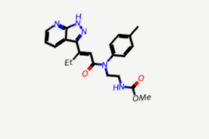 CC/C(=C\C(=O)N(CCNC(=O)OC)c1ccc(C)cc1)c1n[nH]c2ncccc12